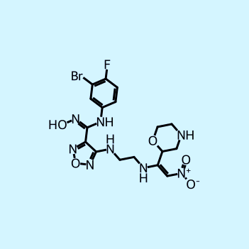 O=[N+]([O-])C=C(NCCNc1nonc1C(=NO)Nc1ccc(F)c(Br)c1)C1CNCCO1